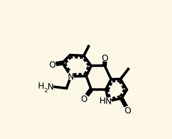 Cc1cc(=O)[nH]c2c1C(=O)c1c(C)cc(=O)n(CN)c1C2=O